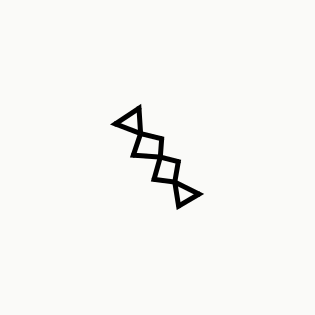 C1CC12CC1(C2)CC2(CC2)C1